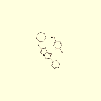 O=C(O)/C=C\C(=O)O.c1ccc(-c2cn3cc(CN4CCCCCC4)sc3n2)cc1